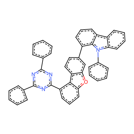 c1ccc(-c2nc(-c3ccccc3)nc(-c3cccc4oc5cc(-c6cccc7c8ccccc8n(-c8ccccc8)c67)ccc5c34)n2)cc1